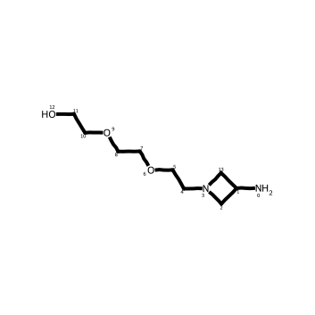 NC1CN(CCOCCOCCO)C1